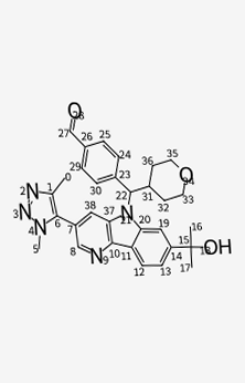 Cc1nnn(C)c1-c1cnc2c3ccc(C(C)(C)O)cc3n(C(c3ccc(C=O)cc3)C3CCOCC3)c2c1